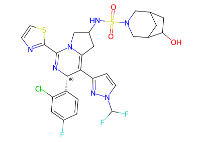 O=S(=O)(NC1CC2=C(c3ccn(C(F)F)n3)[C@H](c3ccc(F)cc3Cl)N=C(c3nccs3)N2C1)N1CC2CC(O)C(C2)C1